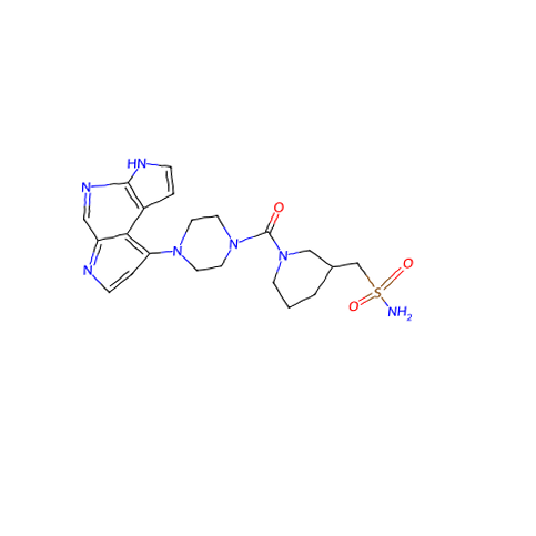 NS(=O)(=O)CC1CCCN(C(=O)N2CCN(c3ccnc4cnc5[nH]ccc5c34)CC2)C1